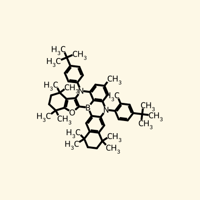 Cc1cc2c3c(c1)N(c1ccc(C(C)(C)C)cc1)c1c(oc4c1C(C)(C)CCC4(C)C)B3c1cc3c(cc1N2c1ccc(C(C)(C)C)cc1C)C(C)(C)CCC3(C)C